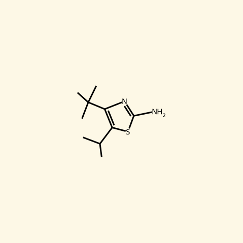 CC(C)c1sc(N)nc1C(C)(C)C